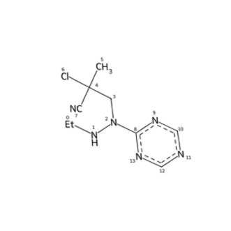 CCNN(CC(C)(Cl)C#N)c1ncncn1